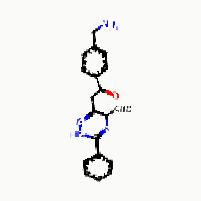 NCc1ccc(C(=O)CC2=NNC(c3ccccc3)=NC2C=O)cc1